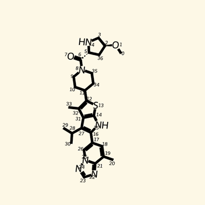 CO[C@@H]1CN[C@@H](C(=O)N2CCC(c3sc4[nH]c(-c5cc(C)c6ncnn6c5)c(C(C)C)c4c3C)CC2)C1